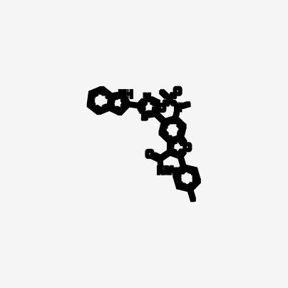 CNC(=O)c1c(-c2ccc(C)cc2)oc2cc(N(C)S(C)(=O)=O)c(-c3cnc(-c4cc5ccccc5[nH]4)s3)cc12